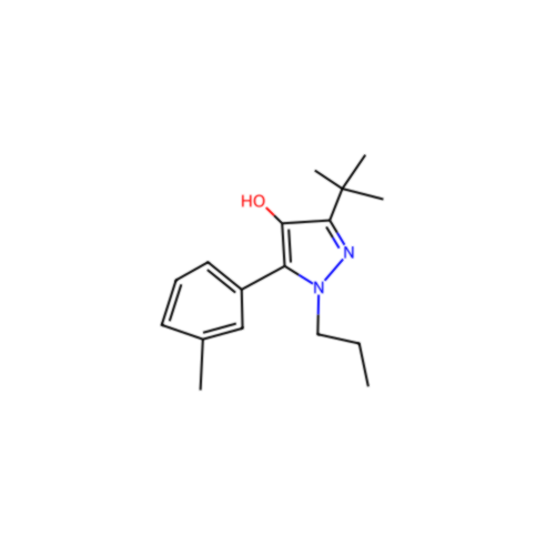 CCCn1nc(C(C)(C)C)c(O)c1-c1cccc(C)c1